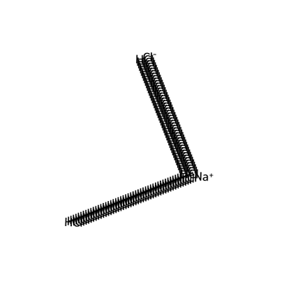 Cl.Cl.Cl.Cl.Cl.Cl.Cl.Cl.Cl.Cl.Cl.Cl.Cl.Cl.Cl.Cl.Cl.Cl.Cl.Cl.Cl.Cl.Cl.Cl.Cl.Cl.Cl.Cl.Cl.Cl.Cl.Cl.Cl.Cl.Cl.Cl.Cl.Cl.Cl.Cl.Cl.Cl.Cl.Cl.Cl.Cl.Cl.Cl.Cl.Cl.Cl.Cl.Cl.Cl.Cl.Cl.Cl.Cl.Cl.Cl.Cl.Cl.Cl.Cl.Cl.Cl.Cl.Cl.Cl.Cl.Cl.Cl.Cl.Cl.Cl.Cl.Cl.Cl.Cl.Cl.Cl.Cl.Cl.Cl.Cl.Cl.Cl.Cl.Cl.Cl.Cl.Cl.Cl.Cl.[Cl-].[Na+]